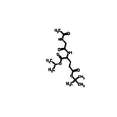 CC(=O)NCC(=O)NC(CCC(=O)OC(C)(C)C)C(=O)OC(C)C